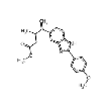 C=C(c1ccc2[nH]c(-c3ccc(OC)cc3)nc2c1)C(C)CC(=O)OC